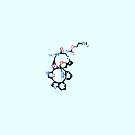 C=CCOC(=O)N[C@H]1Cc2ccc3c(c2)[C@]24c5cccc(c5NC2O3)-c2cccc3[nH]cc(c23)-c2cnc(o2)-c2nc(oc24)[C@H](C(C)C)NC1=O